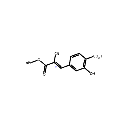 CCCOC(=O)/C(C#N)=C/c1ccc(C(=O)O)c(O)c1